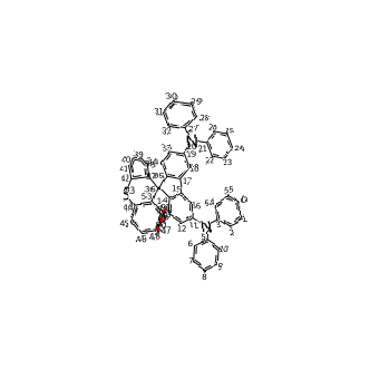 c1ccc(N(c2ccccc2)c2ccc3c(c2)-c2cc(N(c4ccccc4)c4ccccc4)ccc2C32c3ccccc3Sc3ccc4ccccc4c32)cc1